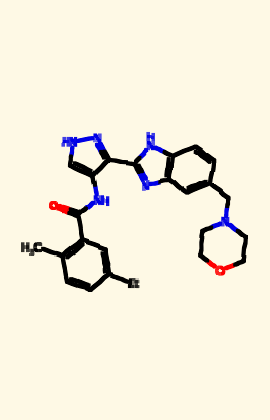 CCc1ccc(C)c(C(=O)Nc2c[nH]nc2-c2nc3cc(CN4CCOCC4)ccc3[nH]2)c1